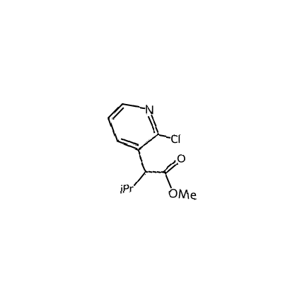 COC(=O)[C](c1cccnc1Cl)C(C)C